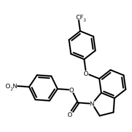 O=C(Oc1ccc([N+](=O)[O-])cc1)N1CCc2cccc(Oc3ccc(C(F)(F)F)cc3)c21